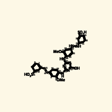 COc1cc(/N=N/c2cccc(S(=O)(=O)O)c2)ccc1Nc1nc(O)nc(Nc2ccc(NNc3cccc(S(=O)(=O)O)c3)cc2OC)n1